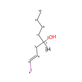 [2H]C(O)(C/C=C/I)CCCC